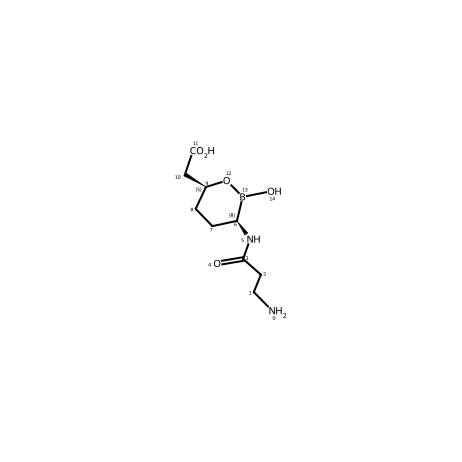 NCCC(=O)N[C@H]1CC[C@@H](CC(=O)O)OB1O